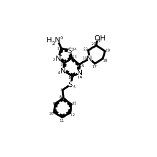 Nc1nc2nc(SCc3ccccc3)nc(N3CCCC(O)C3)c2s1